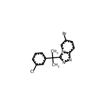 CC(C)(c1cccc(Cl)c1)c1nnc2ccc(Br)cn12